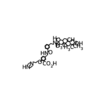 CC1(C)C(O)CCC2(C)C1CCC1(C)C3CCC4(C(=O)NCCc5cccc(C(=O)NCc6ccc(OCCCN7CCNCC7)c(C(=O)O)c6)c5)CCCC4C3CCC12